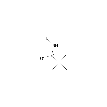 CC(C)(C)[S+]([O-])NI